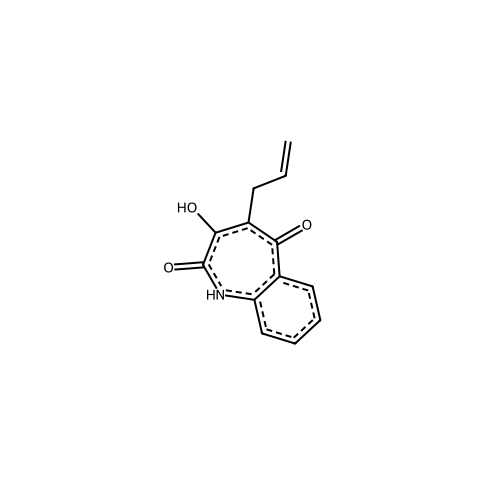 C=CCc1c(O)c(=O)[nH]c2ccccc2c1=O